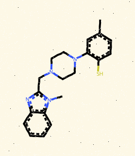 Cc1ccc(S)c(N2CCN(Cc3nc4ccccc4n3C)CC2)c1